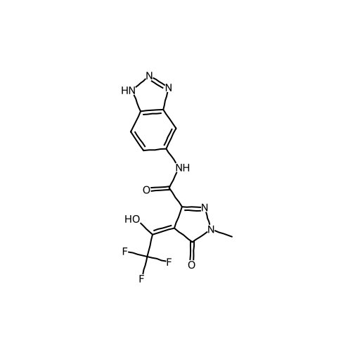 CN1N=C(C(=O)Nc2ccc3[nH]nnc3c2)/C(=C(\O)C(F)(F)F)C1=O